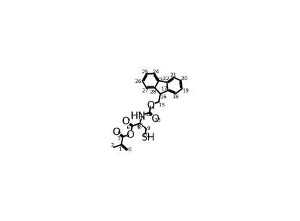 C=C(C)C(=O)OC(=O)[C@H](CS)NC(=O)OCC1c2ccccc2-c2ccccc21